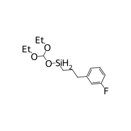 CCOC(OCC)O[SiH2]CCCc1cccc(F)c1